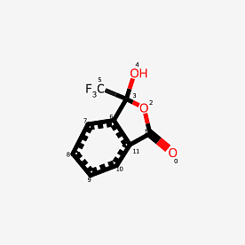 O=C1OC(O)(C(F)(F)F)c2ccccc21